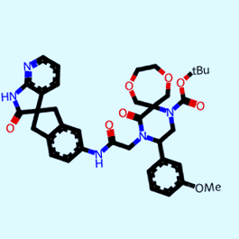 COc1cccc(C2CN(C(=O)OC(C)(C)C)C3(COCCOC3)C(=O)N2CC(=O)Nc2ccc3c(c2)CC2(C3)C(=O)Nc3ncccc32)c1